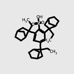 CCC1(c2cc(C3(CC)CC4CCC3C4)c(S(=O)(=O)O)c(C3(CC)CC4CCC3C4)c2)CC2CCC1C2